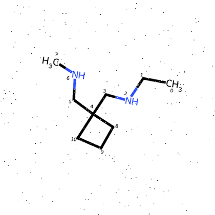 CCNCC1(CNC)CCC1